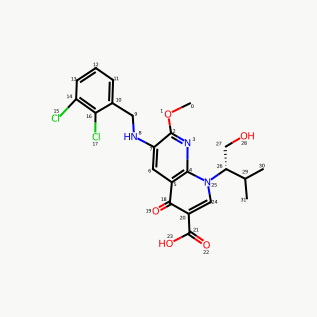 COc1nc2c(cc1NCc1cccc(Cl)c1Cl)c(=O)c(C(=O)O)cn2[C@H](CO)C(C)C